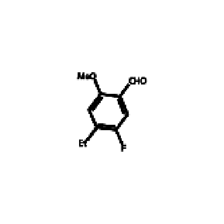 CCc1cc(OC)c(C=O)cc1F